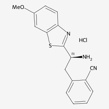 COc1ccc2nc([C@@H](N)Cc3ccccc3C#N)sc2c1.Cl